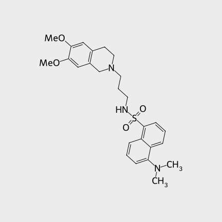 COc1cc2c(cc1OC)CN(CCCNS(=O)(=O)c1cccc3c(N(C)C)cccc13)CC2